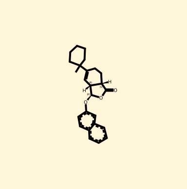 CC1(C2=C[C@H]3[C@H](Oc4ccc5ccccc5c4)OC(=O)[C@H]3CC2)CCCCC1